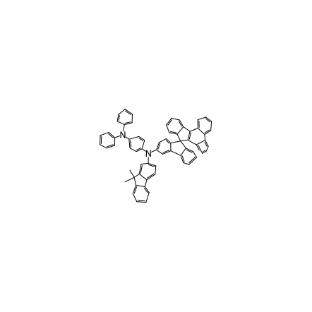 CC1(C)c2ccccc2-c2ccc(N(c3ccc(N(c4ccccc4)c4ccccc4)cc3)c3ccc4c(c3)-c3ccccc3C43c4ccccc4-c4c3c3ccccc3c3ccccc43)cc21